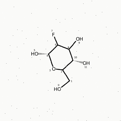 OCC1O[C@H](O)C(F)C(O)[C@@H]1O